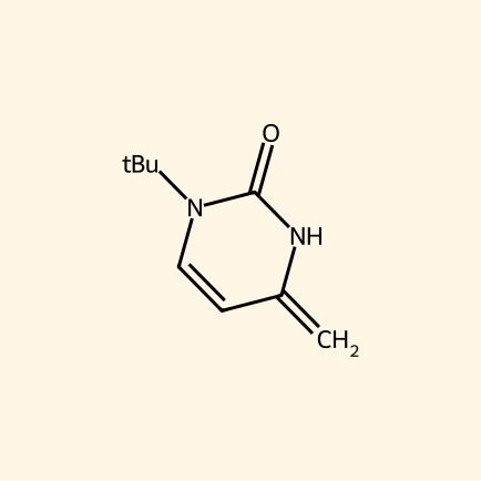 C=C1C=CN(C(C)(C)C)C(=O)N1